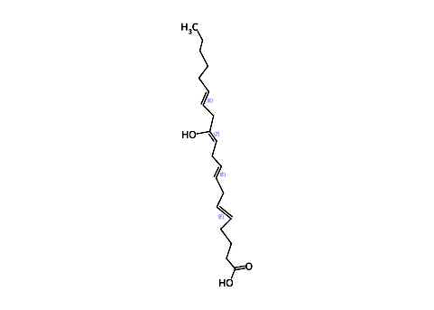 CCCCC/C=C/C/C(O)=C/C/C=C/C/C=C/CCCC(=O)O